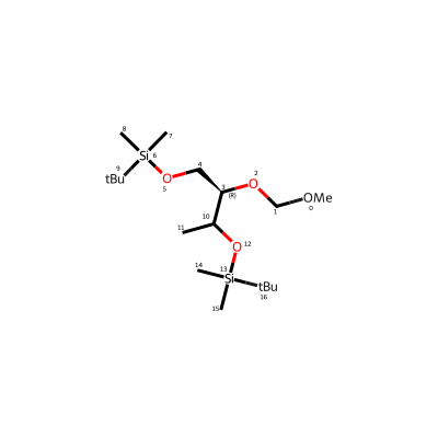 COCO[C@H](CO[Si](C)(C)C(C)(C)C)C(C)O[Si](C)(C)C(C)(C)C